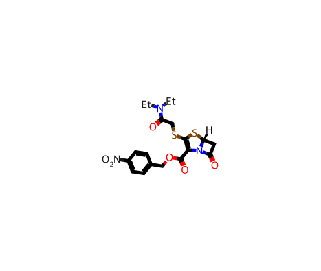 CCN(CC)C(=O)CSC1=C(C(=O)OCc2ccc([N+](=O)[O-])cc2)N2C(=O)C[C@H]2S1